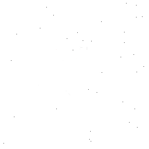 CC(C)(C)OC(=O)c1cc2ccccc2c2ccc3c4ccccc4ccc3c12